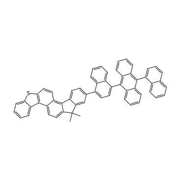 CC1(C)c2cc(-c3ccc(-c4c5ccccc5c(-c5cccc6ccccc56)c5ccccc45)c4ccccc34)ccc2-c2c1ccc1c2ccc2sc3ccccc3c21